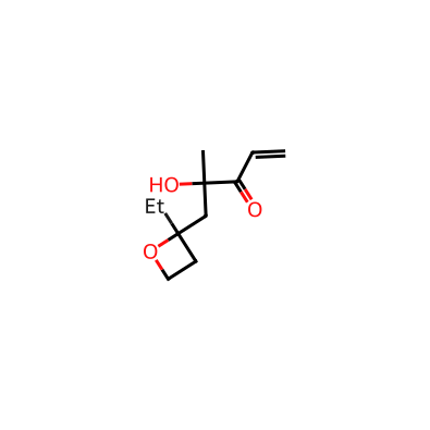 C=CC(=O)C(C)(O)CC1(CC)CCO1